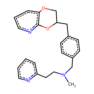 CN(CCc1ccccn1)Cc1ccc(CC2COc3cccnc3O2)cc1